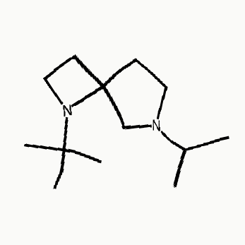 CC(C)N1CCC2(CCN2C(C)(C)C)C1